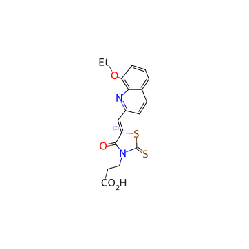 CCOc1cccc2ccc(/C=C3\SC(=S)N(CCC(=O)O)C3=O)nc12